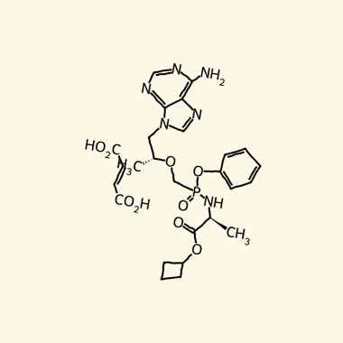 C[C@H](Cn1cnc2c(N)ncnc21)OCP(=O)(N[C@@H](C)C(=O)OC1CCC1)Oc1ccccc1.O=C(O)/C=C/C(=O)O